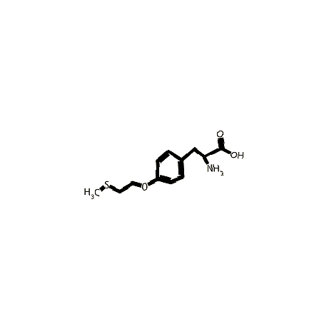 CSCCOc1ccc(CC(N)C(=O)O)cc1